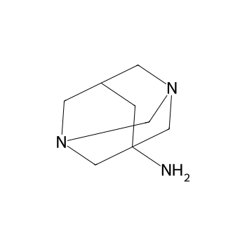 NC12CC3CN(CN(C3)C1)C2